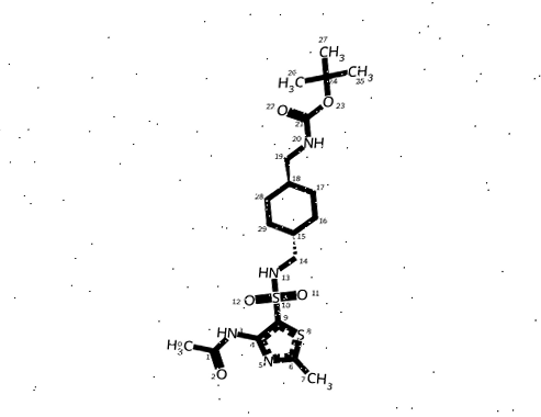 CC(=O)Nc1nc(C)sc1S(=O)(=O)NC[C@H]1CC[C@H](CNC(=O)OC(C)(C)C)CC1